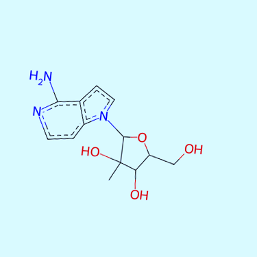 CC1(O)C(O)C(CO)OC1n1ccc2c(N)nccc21